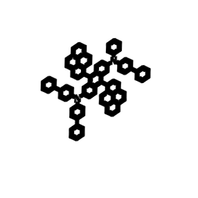 c1ccc(-c2ccc(N(c3ccccc3)c3ccc4c(-c5ccc6ccc7cccc8ccc5c6c78)c5cc(N(c6ccc(-c7ccccc7)cc6)c6ccc(-c7ccccc7)cc6)ccc5c(-c5ccc6ccc7cccc8ccc5c6c78)c4c3)cc2)cc1